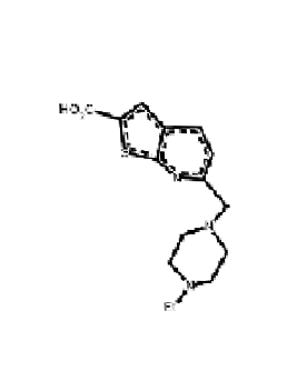 CCN1CCN(Cc2ccc3cc(C(=O)O)sc3n2)CC1